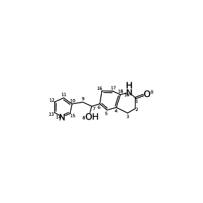 O=C1CCc2cc(C(O)Cc3cccnc3)ccc2N1